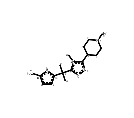 CC(C)N1CCC(c2nnc(C(C)(C)c3ccc(C(F)(F)F)s3)n2C)CC1